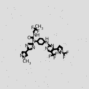 Cn1cc(-c2cnc(N(C(=O)NCC(C)(F)F)C3CCC(Nc4ncc(C(F)(F)F)c(-c5ccn(C(F)F)n5)n4)CC3)cn2)cn1